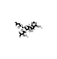 CC(C)CC(=O)OC[C@H]1O[C@@](C)(c2ccc3c(N)ncnn23)[C@H](O)[C@@H]1OC(=O)[C@@H](N)C(C)C